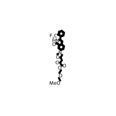 COCCOCCOC(=O)[C@@H]([O])CC1CN(c2ccc3cc(-c4ccccc4C(F)(F)F)[nH]c(=O)c3c2)CO1